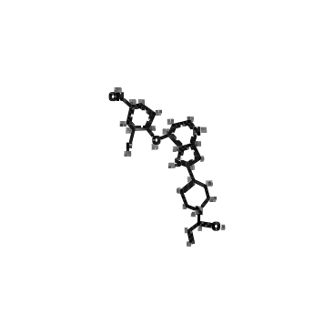 C=CC(=O)N1CC=C(c2cc3nccc(Oc4ccc(N=O)cc4F)c3s2)CC1